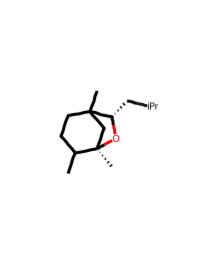 CC(C)C[C@@H]1O[C@]2(C)CC1(C)CCC2C